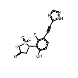 O=C1CN(c2c(O)ccc(C#Cc3ncn[nH]3)c2F)S(=O)(=O)N1